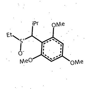 CC[S+]([O-])C(c1c(OC)cc(OC)cc1OC)C(C)C